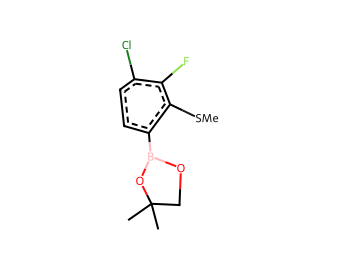 CSc1c(B2OCC(C)(C)O2)ccc(Cl)c1F